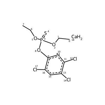 CCOP(=S)(OCC)Oc1nc(Cl)c(Cl)cc1Cl.[CaH2]